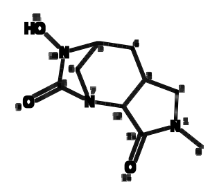 CN1CC2CC3CN(C(=O)N3O)C2C1=O